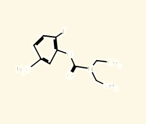 CCN(CC)C(=O)Oc1cc(C)ccc1F